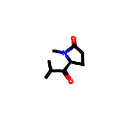 CC(C)C(=O)[C@@H]1CCC(=O)N1C